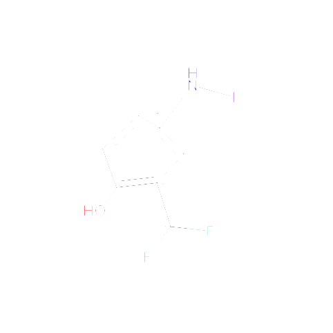 Oc1ccc(NI)cc1C(F)F